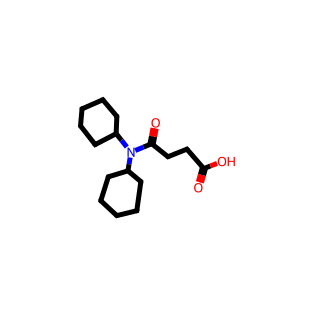 O=C(O)CCC(=O)N(C1CCCCC1)C1CCCCC1